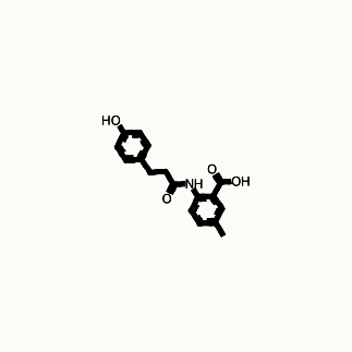 Cc1ccc(NC(=O)CCc2ccc(O)cc2)c(C(=O)O)c1